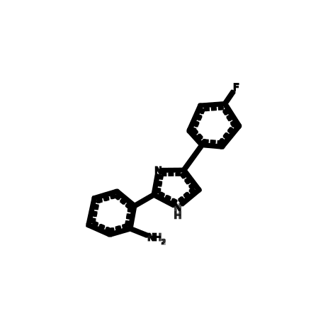 Nc1ccccc1-c1nc(-c2ccc(F)cc2)c[nH]1